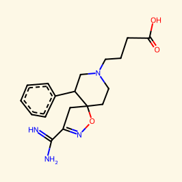 N=C(N)C1=NOC2(CCN(CCCC(=O)O)CC2c2ccccc2)C1